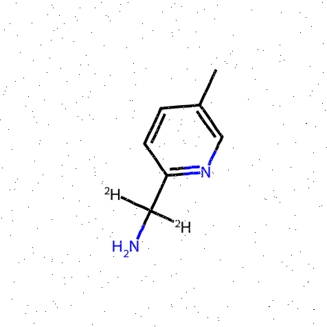 [2H]C([2H])(N)c1ccc(C)cn1